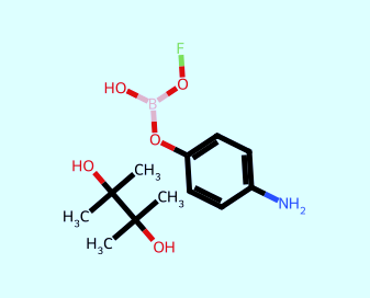 CC(C)(O)C(C)(C)O.Nc1ccc(OB(O)OF)cc1